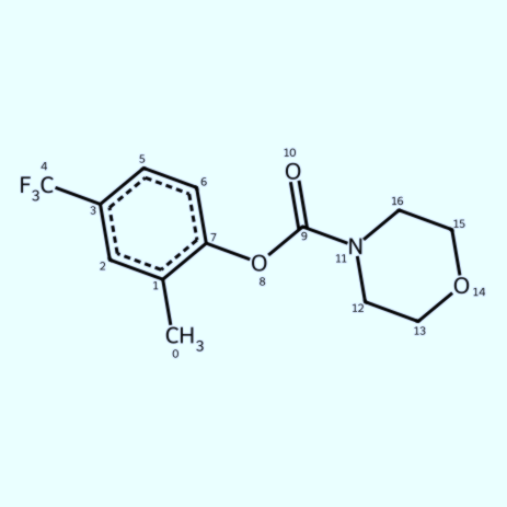 Cc1cc(C(F)(F)F)ccc1OC(=O)N1CCOCC1